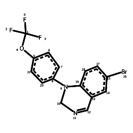 FC(F)(F)Oc1ccc(N2CN=Cc3cc(Br)ccc32)cc1